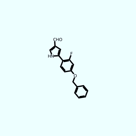 O=Cc1c[nH]c(-c2ccc(OCc3ccccc3)cc2F)c1